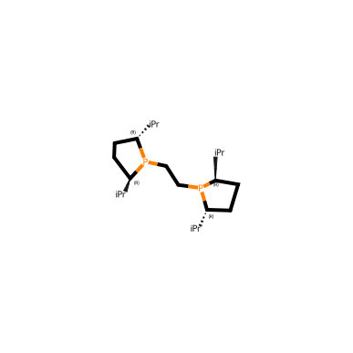 CC(C)[C@H]1CC[C@H](C(C)C)P1CCP1[C@@H](C(C)C)CC[C@@H]1C(C)C